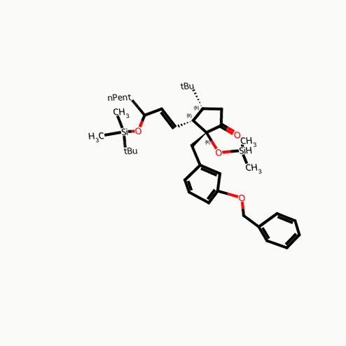 CCCCCC(C=C[C@@H]1[C@H](C(C)(C)C)CC(=O)[C@]1(Cc1cccc(OCc2ccccc2)c1)O[SiH](C)C)O[Si](C)(C)C(C)(C)C